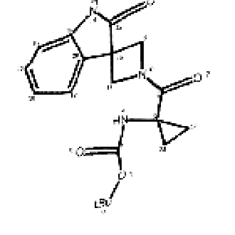 CC(C)(C)OC(=O)NC1(C(=O)N2CC3(C2)C(=O)Nc2ccccc23)CC1